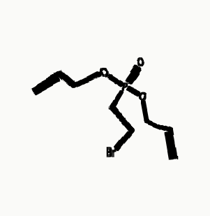 C=CCOP(=O)(CCBr)OCC=C